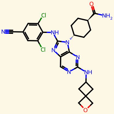 N#Cc1cc(Cl)c(Nc2nc3cnc(NC4CC5(COC5)C4)nc3n2[C@H]2CC[C@H](C(N)=O)CC2)c(Cl)c1